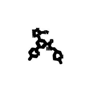 Cc1ccc(-c2cc(C(=O)NCc3ccc(C)nc3)cc(-n3nnnc3C(C)C)c2)nc1